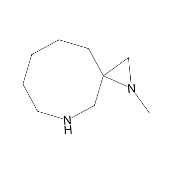 CN1CC12CCCCCNC2